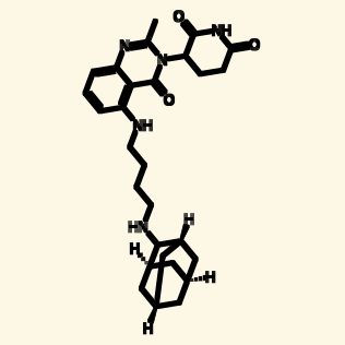 Cc1nc2cccc(NCCCCNC3[C@H]4C[C@@H]5C[C@@H](C[C@H]3C5)C4)c2c(=O)n1C1CCC(=O)NC1=O